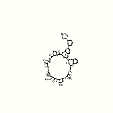 CCC(C)C1NC(=O)C2CCCN2C(=O)C(Cc2cccc(-c3cccc(N4CCN(C)CC4)n3)c2)N(C)C(=O)C(Cc2ccccc2)NC(=O)CN(C)C(=O)C([C@H](C)CC)OC(=O)C(C(C)(C)O)N(C)C(=O)C(CC(C)C)NC(=O)[C@H](C)N(C)C1=O